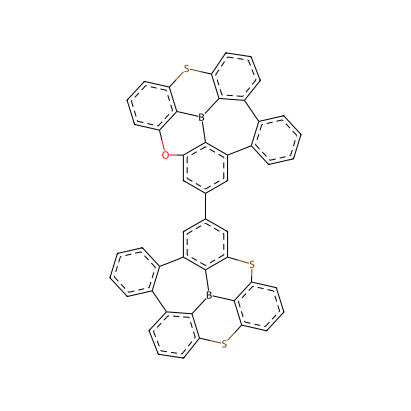 c1cc2c3c(c1)Sc1cccc4c1B3c1c(cc(-c3cc5c6c(c3)-c3ccccc3-c3cccc7c3B6c3c(cccc3S5)S7)cc1-c1ccccc1-4)O2